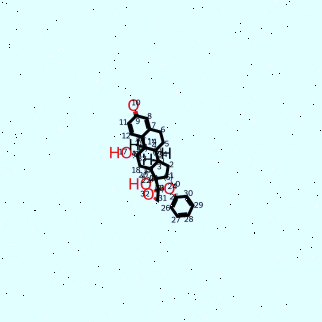 C[C@H]1C[C@H]2[C@@H]3CCC4=CC(=O)C=C[C@]4(C)[C@H]3[C@@H](O)C[C@]2(C)[C@@]1(O)[C@]1(Oc2ccccc2)CO1